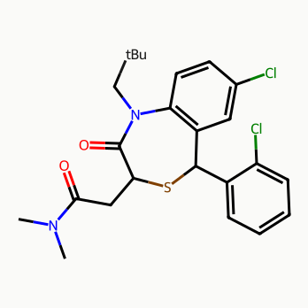 CN(C)C(=O)CC1SC(c2ccccc2Cl)c2cc(Cl)ccc2N(CC(C)(C)C)C1=O